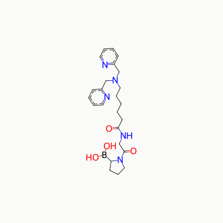 O=C(CCCCCN(Cc1ccccn1)Cc1ccccn1)NCC(=O)N1CCCC1B(O)O